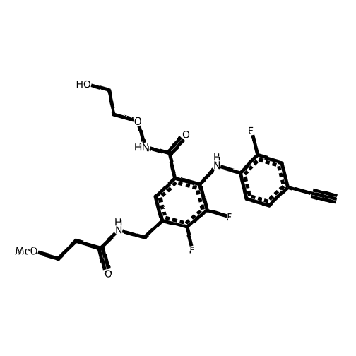 C#Cc1ccc(Nc2c(C(=O)NOCCO)cc(CNC(=O)CCOC)c(F)c2F)c(F)c1